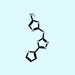 O=[N+]([O-])c1cnc(Sc2nnc(-c3cccs3)s2)s1